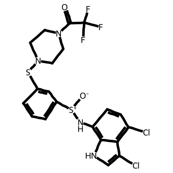 O=C(N1CCN(Sc2cccc([S+]([O-])Nc3ccc(Cl)c4c(Cl)c[nH]c34)c2)CC1)C(F)(F)F